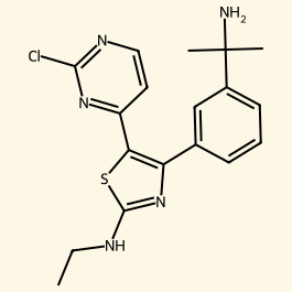 CCNc1nc(-c2cccc(C(C)(C)N)c2)c(-c2ccnc(Cl)n2)s1